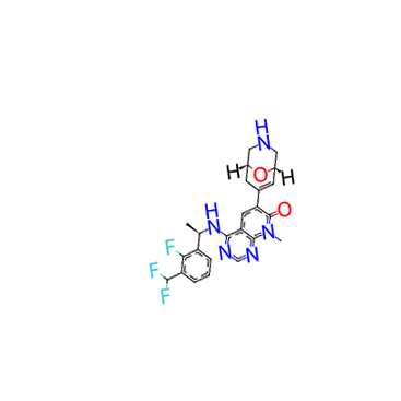 C[C@@H](Nc1ncnc2c1cc(C1=C[C@H]3CNC[C@@H](C1)O3)c(=O)n2C)c1cccc(C(F)F)c1F